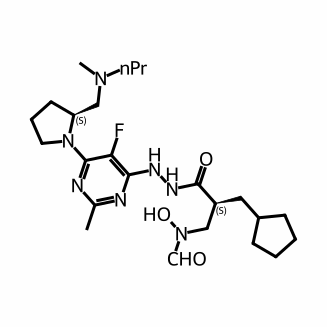 CCCN(C)C[C@@H]1CCCN1c1nc(C)nc(NNC(=O)[C@@H](CC2CCCC2)CN(O)C=O)c1F